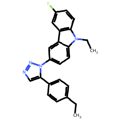 CCc1ccc(-c2cnnn2-c2ccc3c(c2)c2cc(F)ccc2n3CC)cc1